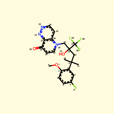 COc1ccc(F)cc1C(C)(C)CC(O)(Cn1ccc(=O)c2nnccc21)C(F)(F)F